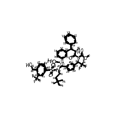 COC(=O)N(C(=O)[C@@H](N)C(c1ccccc1)c1ccccc1)[C@H](c1ccc([C@@H](CO)N(CCC(C)(C)C)S(=O)(=O)c2ccc(CO)c(C(F)(F)F)c2)s1)C(F)(F)F